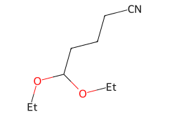 CCOC(CCCC#N)OCC